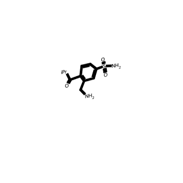 CC(C)C(=O)c1ccc(S(N)(=O)=O)cc1CN